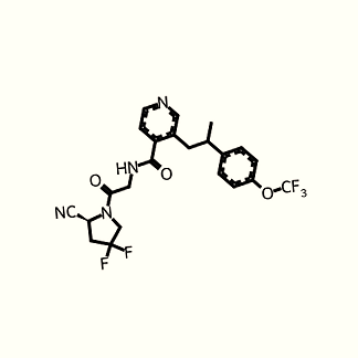 CC(Cc1cnccc1C(=O)NCC(=O)N1CC(F)(F)C[C@H]1C#N)c1ccc(OC(F)(F)F)cc1